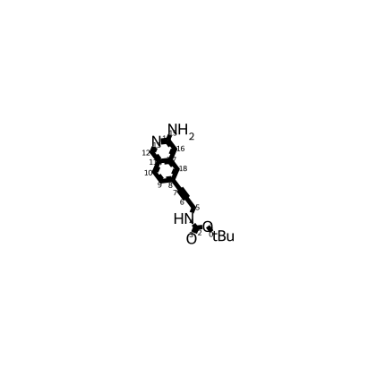 CC(C)(C)OC(=O)NCC#Cc1ccc2cnc(N)cc2c1